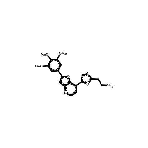 COc1cc(-c2cc3nccc(-c4nnc(CCN)o4)c3o2)cc(OC)c1OC